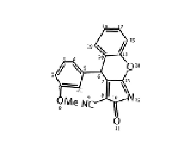 COc1cccc(C2C3=C(C#N)C(=O)N=C3Oc3ccccc32)c1